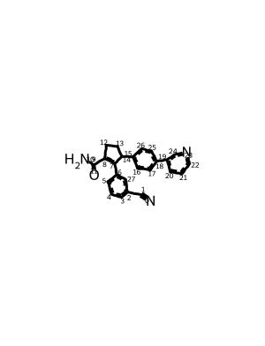 N#Cc1cccc(C2=C(C(N)=O)CCC2c2ccc(-c3cccnc3)cc2)c1